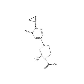 CC1CN(c2ccn(C3CC3)c(=O)c2)CCN1C(=O)O